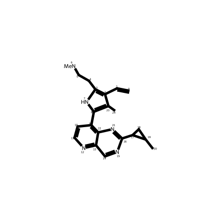 C=Cc1c(CCNC)[nH]c(-c2ccnc3cnc(C4CC4C)nc23)c1C